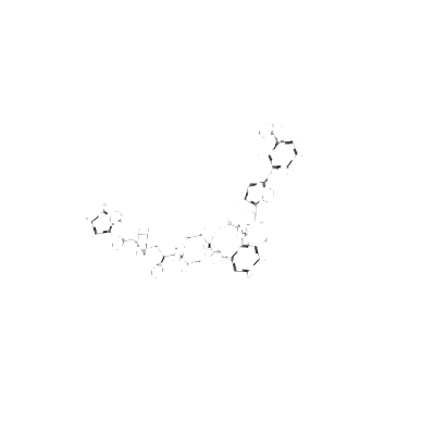 O=C(CNCOc1ccco1)N1CCC2(CC1)CCN(Cc1ccc(-c3cccc(Cl)c3)o1)c1ccccc1O2